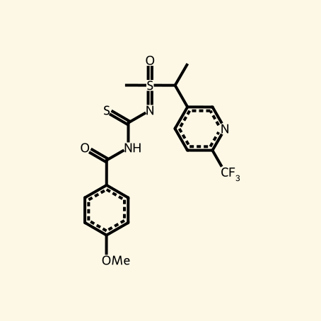 COc1ccc(C(=O)NC(=S)N=S(C)(=O)C(C)c2ccc(C(F)(F)F)nc2)cc1